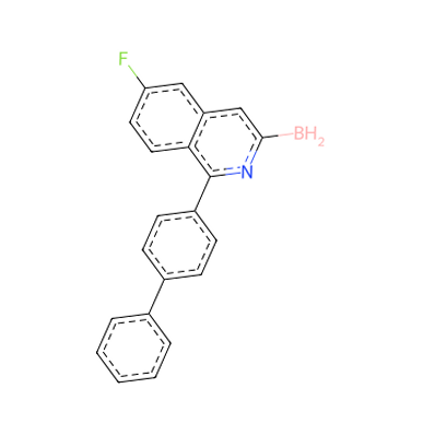 Bc1cc2cc(F)ccc2c(-c2ccc(-c3ccccc3)cc2)n1